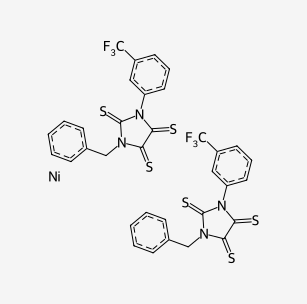 FC(F)(F)c1cccc(N2C(=S)C(=S)N(Cc3ccccc3)C2=S)c1.FC(F)(F)c1cccc(N2C(=S)C(=S)N(Cc3ccccc3)C2=S)c1.[Ni]